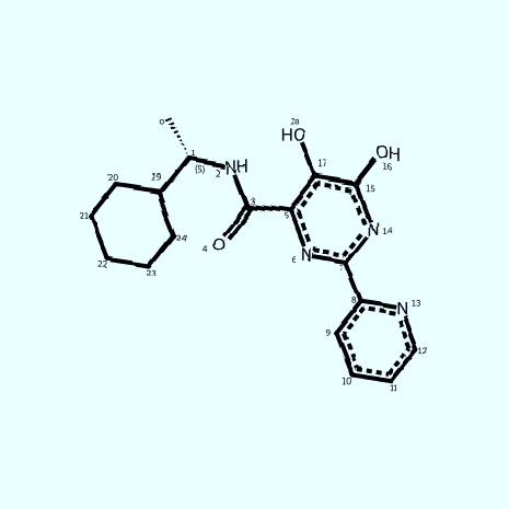 C[C@H](NC(=O)c1nc(-c2ccccn2)nc(O)c1O)C1CCCCC1